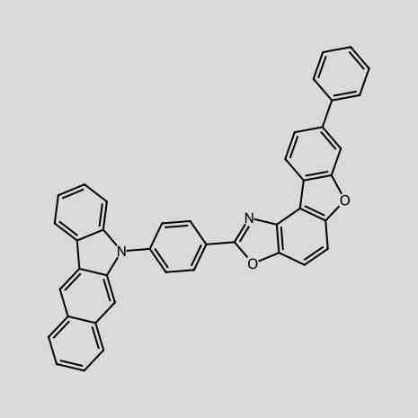 c1ccc(-c2ccc3c(c2)oc2ccc4oc(-c5ccc(-n6c7ccccc7c7cc8ccccc8cc76)cc5)nc4c23)cc1